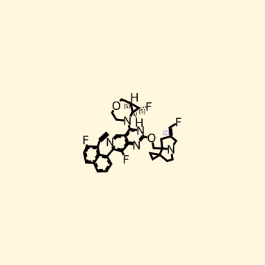 C#Cc1c(F)ccc2cccc(-c3ncc4c(N5CCOC[C@H]6[C@H](F)[C@H]65)nc(OCC56C/C(=C/F)CN5CCC65CC5)nc4c3F)c12